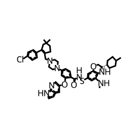 CNc1cc(SNC(=O)c2ccc(N3CCN(CC4=C(c5ccc(Cl)cc5)CC(C)(C)CC4)CC3)cc2Oc2cnc3[nH]ccc3c2)cc2c1N[C@@H](C1CCC(C)CC1)CO2